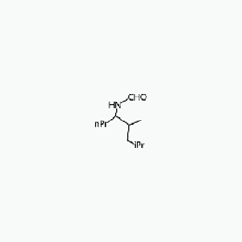 CCCC(NC=O)C(C)CC(C)C